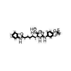 O=C(CCCCC[C@H](NC(=O)Nc1ccc(OC(F)(F)F)cc1)C(=O)NO)Nc1ccccc1